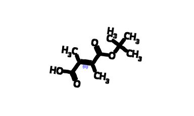 C/C(C(=O)O)=C(/C)C(=O)OC(C)(C)C